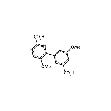 COc1cc(C(=O)O)cc(-c2nc(C(=O)O)ncc2OC)c1